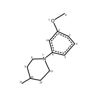 COc1cccc(N2CCC(C)CC2)c1